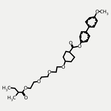 CCC(C)C(=O)OCCOCCOCCOC1CCC(C(=O)Oc2ccc(-c3ccc(OC)cc3)cc2)CC1